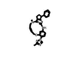 Cc1ncn(-c2ccc3cc2OC/C=C\CN(C)c2nc(nc4c2CCC4c2ccccc2)N3)n1